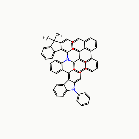 CC1(C)c2ccccc2-c2c(N(c3ccccc3-c3cccc4cccc(-c5ccccc5)c34)c3ccccc3-c3cccc4c3c3ccccc3n4-c3ccccc3)cccc21